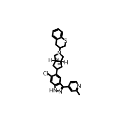 Cc1cc(-c2n[nH]c3cc(Cl)c(C4C[C@@H]5CN(C6CSc7ccccc7C6)C[C@@H]5C4)cc23)ccn1